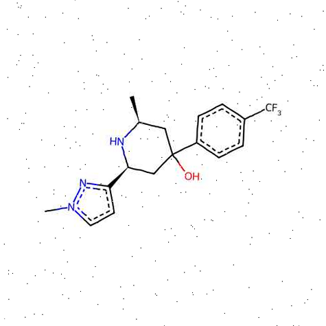 C[C@H]1CC(O)(c2ccc(C(F)(F)F)cc2)C[C@@H](c2ccn(C)n2)N1